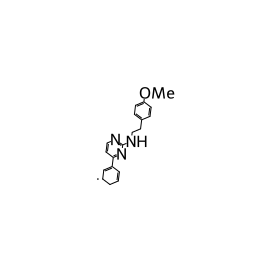 COc1ccc(CCNc2nccc(C3=C[CH]CC=C3)n2)cc1